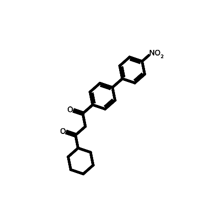 O=C(CC(=O)C1CCCCC1)c1ccc(-c2ccc([N+](=O)[O-])cc2)cc1